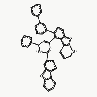 C1=Cc2c(oc3ccc(-c4cccc(-c5ccccc5)c4)c(C4=NC(c5ccccc5)NC(c5ccc6c(c5)oc5ccccc56)=N4)c23)NC1